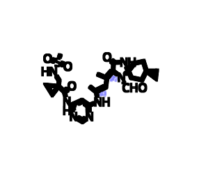 CC(/C=C(\C)Nc1cc(NC(=O)C2(CNS(C)(=O)=O)CC2)ncn1)=C1\C(=O)NC2(CCC3(CC3)CC2)N1C=O